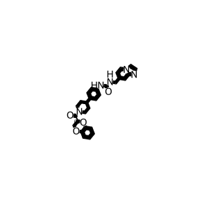 O=C(NCc1ccn2ccnc2c1)Nc1ccc(C2CCN(C(=O)[C@@H]3COc4ccccc4O3)CC2)cc1